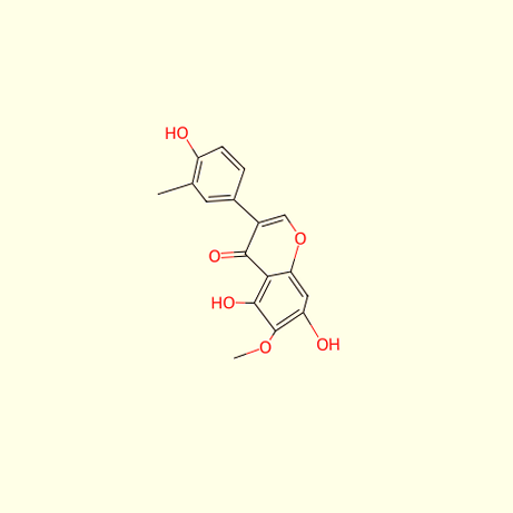 COc1c(O)cc2occ(-c3ccc(O)c(C)c3)c(=O)c2c1O